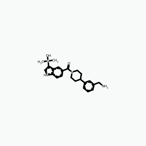 C[Si](C)(O)c1c[nH]c2ccc(C(=O)N3CCC(c4cccc(CN)c4)CC3)cc12